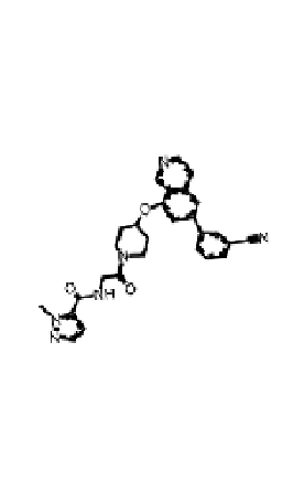 Cn1nccc1C(=O)NCC(=O)N1CCC(Oc2cc(-c3cccc(C#N)c3)cc3ccncc23)CC1